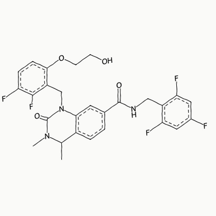 CC1c2ccc(C(=O)NCc3c(F)cc(F)cc3F)cc2N(Cc2c(OCCO)ccc(F)c2F)C(=O)N1C